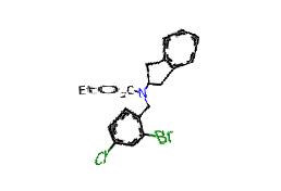 CCOC(=O)N(Cc1ccc(Cl)cc1Br)C1Cc2ccccc2C1